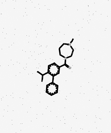 CC(C)c1ccc(C(=O)N2CCCN(C)CC2)cc1-c1ccccc1